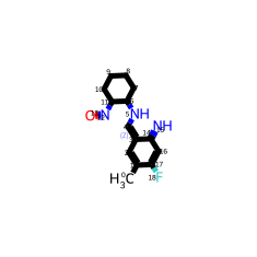 CC1=C/C(=C/NC2CCCCC2N=O)C(=N)C=C1F